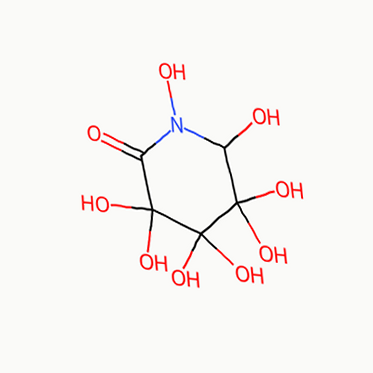 O=C1N(O)C(O)C(O)(O)C(O)(O)C1(O)O